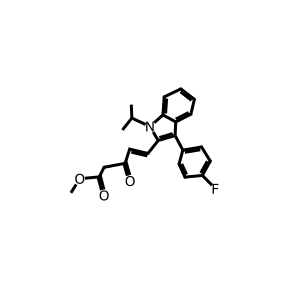 COC(=O)CC(=O)C=Cc1c(-c2ccc(F)cc2)c2ccccc2n1C(C)C